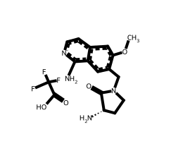 COc1cc2ccnc(N)c2cc1CN1CC[C@H](N)C1=O.O=C(O)C(F)(F)F